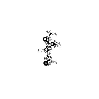 CCC[C@H](NC(=O)[C@@H]1[C@H]2[C@H](CN1C(=O)[C@@H](NC(=O)OCC(C)C)C1(C)CCCCC1)C2(C)C)C(=O)C(=O)NCC(=O)N[C@H](C(=O)N(C)C)c1ccccc1